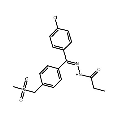 CCC(=O)NN=C(c1ccc(Cl)cc1)c1ccc(CS(C)(=O)=O)cc1